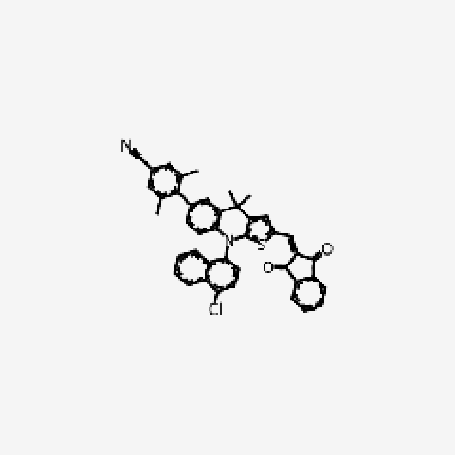 Cc1cc(C#N)cc(C)c1-c1ccc2c(c1)C(C)(C)c1cc(C=C3C(=O)c4ccccc4C3=O)sc1N2c1ccc(Cl)c2ccccc12